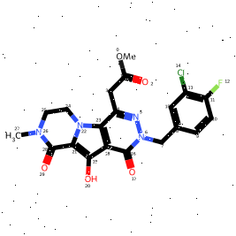 COC(=O)Cc1nn(Cc2ccc(F)c(Cl)c2)c(=O)c2c(O)c3n(c12)CCN(C)C3=O